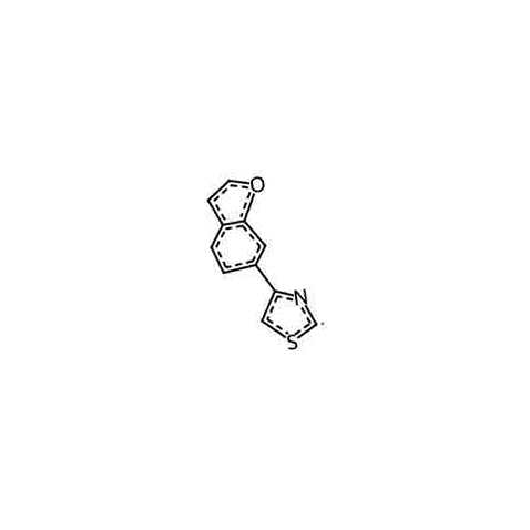 [c]1nc(-c2ccc3ccoc3c2)cs1